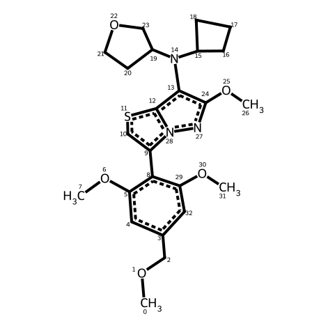 COCc1cc(OC)c(-c2csc3c(N(C4CCC4)C4CCOC4)c(OC)nn23)c(OC)c1